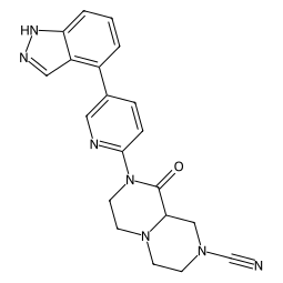 N#CN1CCN2CCN(c3ccc(-c4cccc5[nH]ncc45)cn3)C(=O)C2C1